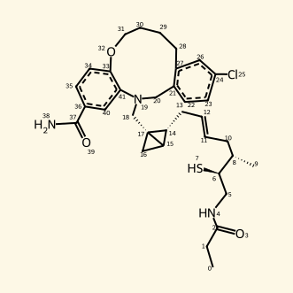 CCC(=O)NC[C@@H](S)[C@@H](C)C/C=C/C[C@@H]1C2C[C@]21CN1Cc2ccc(Cl)cc2CCCCOc2ccc(C(N)=O)cc21